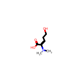 CN(C)/C(=C/CCO)C(=O)O